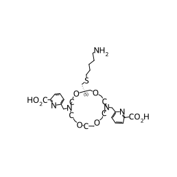 NCCCCCSC[C@@H]1COCCN(Cc2cccc(C(=O)O)n2)CCOCCOCCN(Cc2cccc(C(=O)O)n2)CCO1